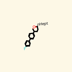 CCCCCCCC1CCC(c2ccc(-c3ccc(F)cc3)cc2)CO1